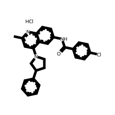 Cc1cc(N2CCC(c3ccccc3)C2)c2cc(NC(=O)c3ccc(Cl)cc3)ccc2n1.Cl